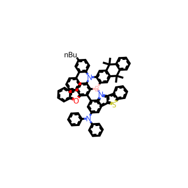 CCCCc1ccc(N2c3cc4c(cc3B3c5c2cc2c(oc6ccccc62)c5-c2cc(N(c5ccccc5)c5ccccc5)cc5c6sc7ccccc7c6n3c25)C(C)(C)c2ccccc2C4(C)C)c(-c2ccccc2)c1